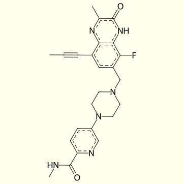 CC#Cc1cc(CN2CCN(c3ccc(C(=O)NC)nc3)CC2)c(F)c2[nH]c(=O)c(C)nc12